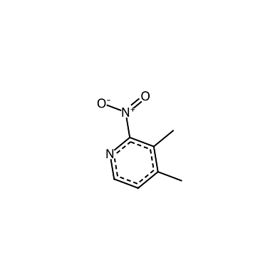 Cc1ccnc([N+](=O)[O-])c1C